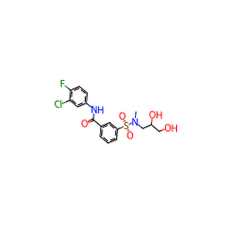 CN(CC(O)CO)S(=O)(=O)c1cccc(C(=O)Nc2ccc(F)c(Cl)c2)c1